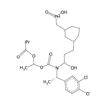 CC(OC(=O)C(C)C)OC(=O)N(C(O)CCC1CCCC(C[PH](=O)O)C1)[C@@H](C)c1ccc(Cl)c(Cl)c1